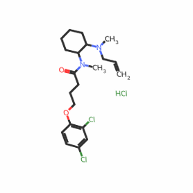 C=CCN(C)C1CCCCC1N(C)C(=O)CCCOc1ccc(Cl)cc1Cl.Cl